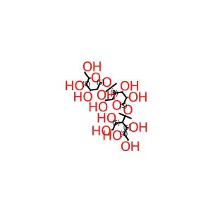 CC(C)(O[C@@H]1OC(CO)[C@H](C(C)(C)O[C@@H]2OC(CO)[C@@H](O)C(O)C2O)C(O)C1O)C([C@H](O)CO)[C@H](O)[C@@H](O)CO